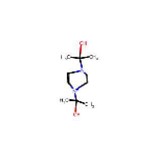 CC(C)(O)N1CCN(C(C)(C)O)CC1